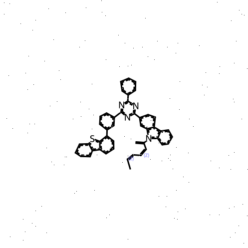 C=C(/C=C\C=C/C)n1c2ccccc2c2ccc(-c3nc(-c4ccccc4)nc(-c4cccc(-c5cccc6c5sc5ccccc56)c4)n3)cc21